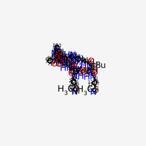 Cc1ncsc1-c1ccc(CNC(=O)[C@@H]2C[C@@H](OO[C@@H]3C[C@@H](C(=O)NCc4ccc(-c5scnc5C)cc4)N(C(=O)[C@@H](NC(=O)[C@H]4CC[C@@H](CN(C)Cc5cnc(N6C7CCC6CN(c6cc(-c8ccccc8O)nnc6N)C7)nc5)CC4)C(C)(C)C)C3)CN2C(=O)[C@@H](NC(=O)C2CC(N3CCC(n4cc(-c5cc(-c6ccccc6O)nnc5N)cn4)CC3)C2)C(C)(C)C)cc1